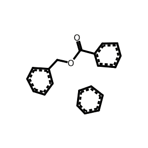 O=C(OCc1ccccc1)c1ccccc1.c1ccccc1